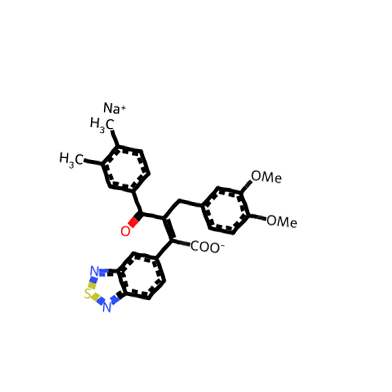 COc1ccc(CC(C(=O)c2ccc(C)c(C)c2)=C(C(=O)[O-])c2ccc3nsnc3c2)cc1OC.[Na+]